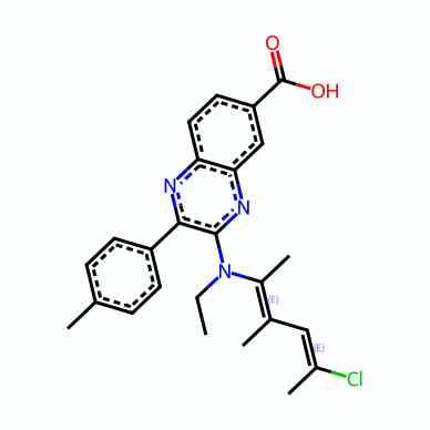 CCN(/C(C)=C(C)/C=C(\C)Cl)c1nc2cc(C(=O)O)ccc2nc1-c1ccc(C)cc1